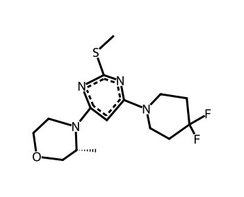 CSc1nc(N2CCC(F)(F)CC2)cc(N2CCOC[C@H]2C)n1